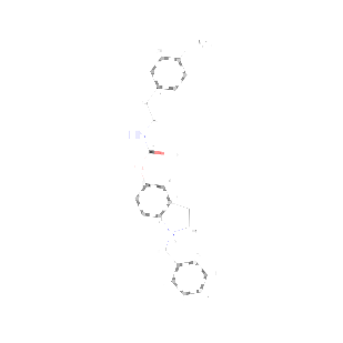 COc1ccc(CCNC(=O)Oc2ccc3c(c2)CCN3Cc2ccccc2)cc1